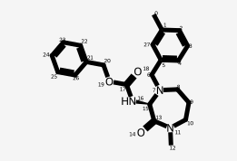 Cc1cccc(CN2CCCN(C)C(=O)[C@H]2NC(=O)OCc2ccccc2)c1